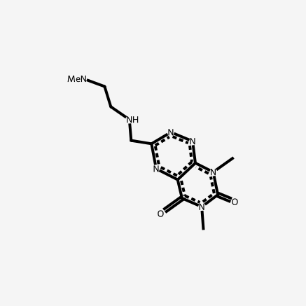 CNCCNCc1nnc2c(n1)c(=O)n(C)c(=O)n2C